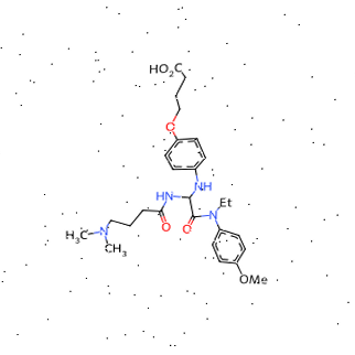 CCN(C(=O)C(NC(=O)CCCN(C)C)Nc1ccc(OCCCC(=O)O)cc1)c1ccc(OC)cc1